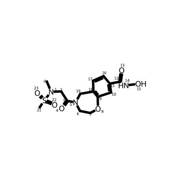 CN(CC(=O)N1CCOc2cc(C(=O)NO)ccc2C1)S(C)(=O)=O